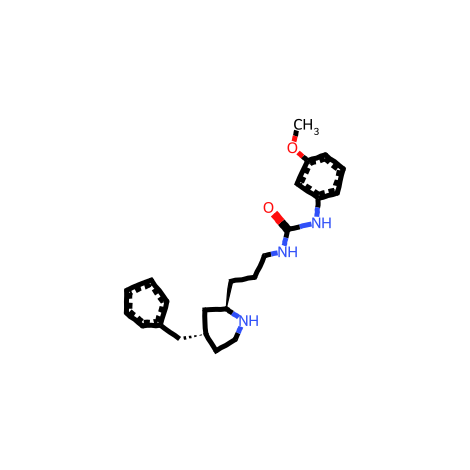 COc1cccc(NC(=O)NCCC[C@@H]2C[C@@H](Cc3ccccc3)CCN2)c1